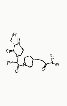 CCN(C(=O)CC1CCN(C(=O)C(C(C)C)N2CCN[C@@H](CC(C)C)C2=O)CC1)C(C)C